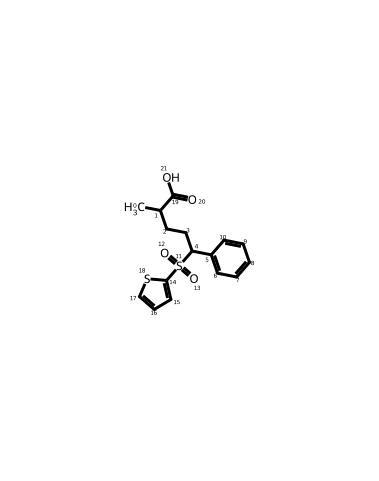 CC(CCC(c1ccccc1)S(=O)(=O)c1cccs1)C(=O)O